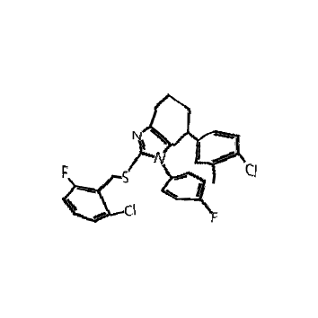 Cc1cc(C2CCCc3nc(SCc4c(F)cccc4Cl)n(-c4ccc(F)cc4)c32)ccc1Cl